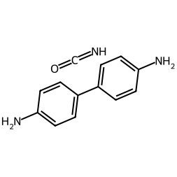 N=C=O.Nc1ccc(-c2ccc(N)cc2)cc1